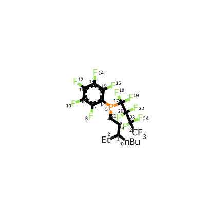 CCCCC(CC)CCP(c1c(F)c(F)c(F)c(F)c1F)C(F)(F)C(F)(F)C(F)(F)C(F)(F)F